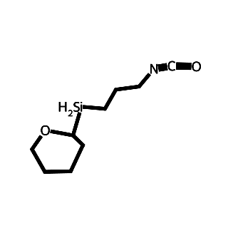 O=C=NCCC[SiH2]C1CCCCO1